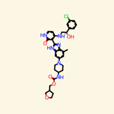 Cc1cc(N2CCC(NC(=O)OCC3CCOC3)CC2)cc2[nH]c(-c3c(NC[C@@H](O)c4cccc(Cl)c4)cc[nH]c3=O)nc12